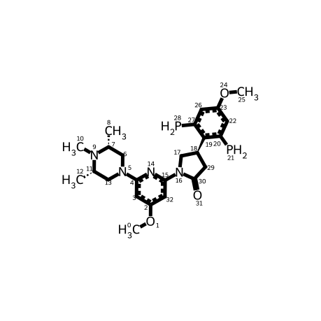 COc1cc(N2C[C@@H](C)N(C)[C@@H](C)C2)nc(N2C[C@@H](c3c(P)cc(OC)cc3P)CC2=O)c1